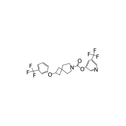 O=C(Oc1cncc(C(F)(F)F)c1)N1CCC2(CC1)CC(Oc1cccc(C(F)(F)F)c1)C2